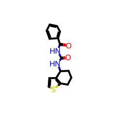 O=C(NC(=O)c1ccccc1)NC1CCCc2sccc21